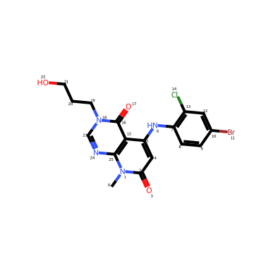 Cn1c(=O)cc(Nc2ccc(Br)cc2Cl)c2c(=O)n(CCCO)cnc21